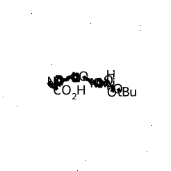 CC(C)(C)OC(=O)NCC(=O)N1CCN(CCCOc2ccc(/C=C/c3ccc4nccc(C(=O)O)c4c3)cc2)CC1